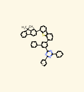 CC1(C)c2ccccc2-c2ccc(-c3cccc4c3sc3c(-c5cc(-c6ccccc6)cc(-c6nc(-c7ccccc7)nc(-c7ccccc7)n6)c5)cccc34)cc21